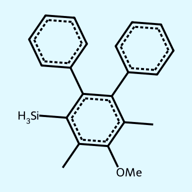 COc1c(C)c([SiH3])c(-c2ccccc2)c(-c2ccccc2)c1C